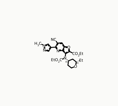 CCOC(=O)c1oc2cc(C#N)c(-c3cnn(C)c3)nc2c1N(C(=O)OCC)[C@H]1CCO[C@@H](CC)C1